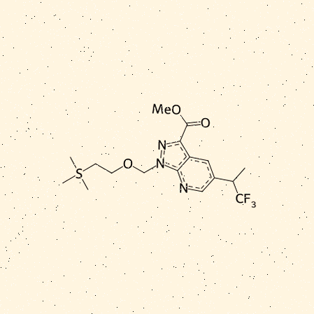 COC(=O)c1nn(COCCS(C)(C)C)c2ncc(C(C)C(F)(F)F)cc12